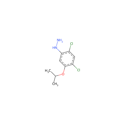 CC(C)Oc1cc(NN)c(Cl)cc1Cl